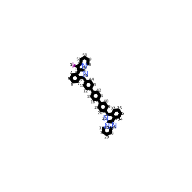 Ic1c2c3ccccc3c(-c3ccc(-c4ccc(-c5ccc(-c6nc7c(nc8ccccn87)c7ccccc67)cc5)cc4)cc3)nc2n2ccccc12